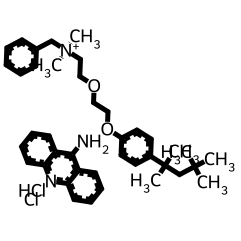 CC(C)(C)CC(C)(C)c1ccc(OCCOCC[N+](C)(C)Cc2ccccc2)cc1.Cl.Nc1c2ccccc2nc2ccccc12.[Cl-]